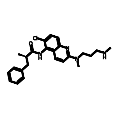 CNCCCN(C)c1ccc2c(NC(=O)[C@H](C)Cc3ccccc3)c(Cl)ccc2n1